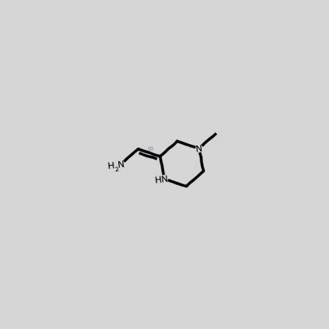 CN1CCN/C(=C\N)C1